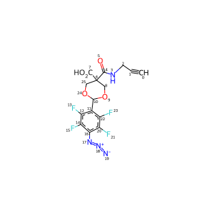 C#CCNC(=O)C1(C(=O)O)COC(c2c(F)c(F)c(N=[N+]=[N-])c(F)c2F)OC1